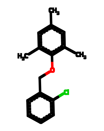 Cc1cc(C)c(OCc2ccccc2Cl)c(C)c1